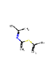 C=C(/N=C(\C)C(C)(C)C)SC(=C)C(C)(C)C